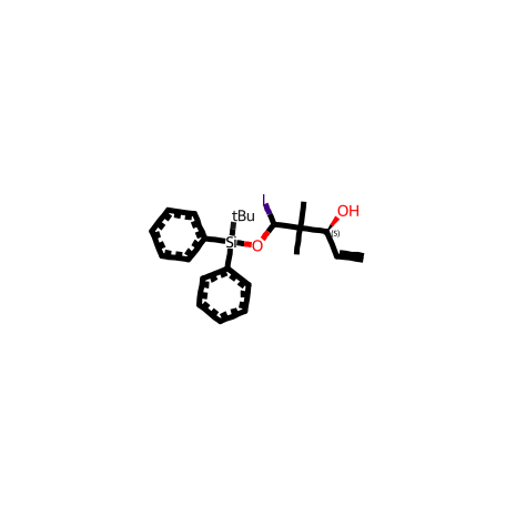 C=C[C@H](O)C(C)(C)C(I)O[Si](c1ccccc1)(c1ccccc1)C(C)(C)C